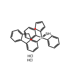 Cl.Cl.[SiH2]=[Ti]([C]1=CC=CC1)([c]1ccccc1)([c]1ccccc1)[c]1cccc2c1Cc1ccccc1-2